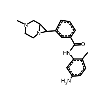 Cc1ccc(N)cc1NC(=O)c1cccc(C2C3CN(C)CCN32)c1